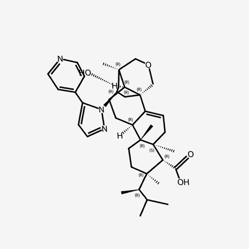 CC(C)[C@@H](C)[C@@]1(C)CC[C@]2(C)[C@H]3CC[C@@H]4[C@@]5(COC[C@]4(C)[C@@H](O)[C@H](n4nccc4-c4ccncc4)C5)C3=CC[C@@]2(C)[C@@H]1C(=O)O